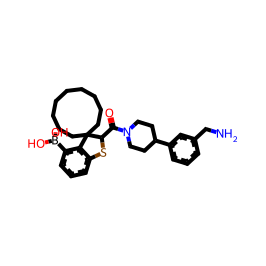 NCc1cccc(C2CCN(C(=O)C3Sc4cccc(B(O)O)c4C34CCCCCCCCC4)CC2)c1